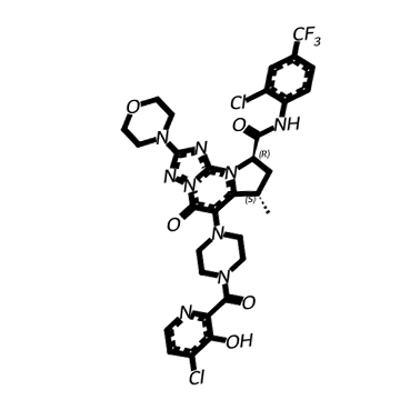 C[C@H]1C[C@H](C(=O)Nc2ccc(C(F)(F)F)cc2Cl)n2c1c(N1CCN(C(=O)c3nccc(Cl)c3O)CC1)c(=O)n1nc(N3CCOCC3)nc21